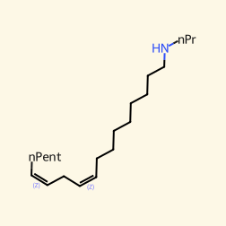 [CH2]CCNCCCCCCCC/C=C\C/C=C\CCCCC